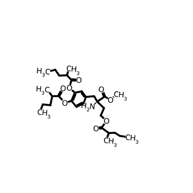 CCCC(C)C(=O)OCC[C@@](N)(Cc1ccc(OC(=O)C(C)CCC)c(OC(=O)C(C)CCC)c1)C(=O)OC